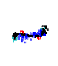 CC(F)(F)c1ccnc(CNC(=O)C2=CN(CCCCN(N)/C=C(\N)C(=O)NCc3cccc(C(F)(F)F)c3)NN2)c1